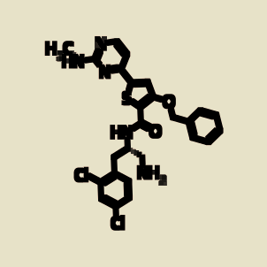 CNc1nccc(-c2cc(OCc3ccccc3)c(C(=O)N[C@H](CN)Cc3ccc(Cl)cc3Cl)s2)n1